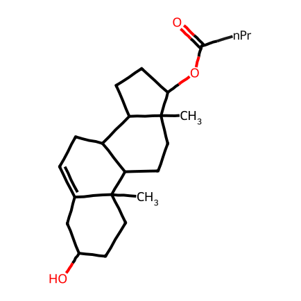 CCCC(=O)OC1CCC2C3CC=C4CC(O)CCC4(C)C3CCC12C